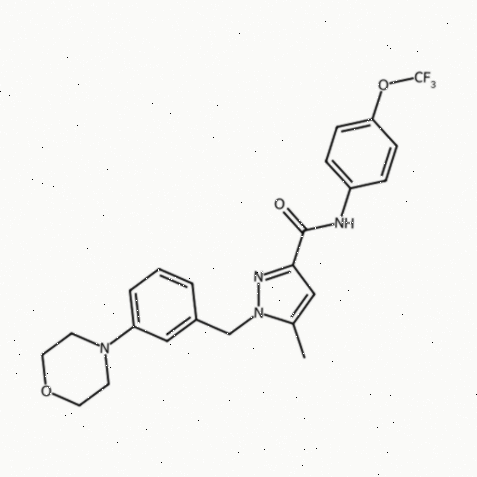 Cc1cc(C(=O)Nc2ccc(OC(F)(F)F)cc2)nn1Cc1cccc(N2CCOCC2)c1